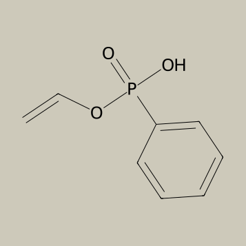 C=COP(=O)(O)c1ccccc1